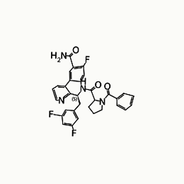 NC(=O)c1cc(-c2cccnc2[C@H](Cc2cc(F)cc(F)c2)NC(=O)C2CCCN2C(=O)c2ccccc2)ccc1F